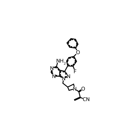 C=C(C#N)C(=O)N1CC(Cn2nc(-c3ccc(Oc4ccccc4)cc3F)c3c(N)ncnc32)C1